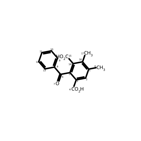 Cc1cc(C(=O)O)c(C(=O)c2ccccc2)c(C(=O)O)c1C